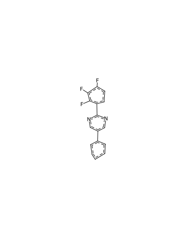 Fc1ccc(-c2ncc(-c3ccccc3)cn2)c(F)c1F